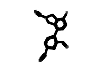 N#Cc1ccc(-c2ccc(F)c3c2CN(C#N)C3)c(C=O)c1